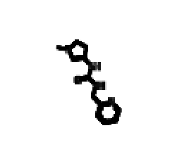 CN1C=C(NC(=O)NCc2ccccn2)CC1